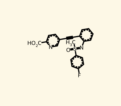 CS(=O)(=Nc1ccccc1C#Cc1ccc(C(=O)O)nc1)c1ccc(F)cc1